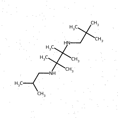 CC(C)CNC(C)(C)C(C)(C)NCC(C)(C)C